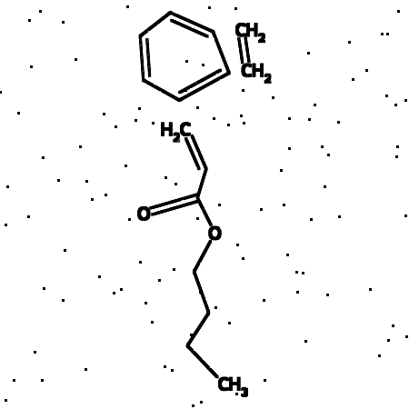 C=C.C=CC(=O)OCCCC.c1ccccc1